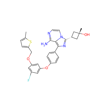 Cc1ccc(COc2cc(F)cc(Oc3ccc(-c4nc([C@H]5C[C@@](C)(O)C5)n5ccnc(N)c45)cc3)c2)s1